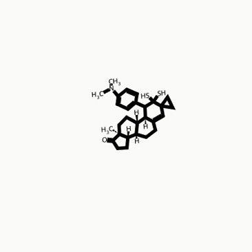 CN(C)c1ccc(C2[C@H]3C(=CC4(CC4)C2(S)S)CC[C@@H]2[C@@H]3CC[C@]3(C)C(=O)CC[C@@H]23)cc1